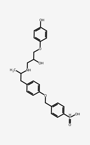 CC(Cc1ccc(OCc2ccc([PH](=O)O)cc2)cc1)NCC(O)COc1ccc(O)cc1